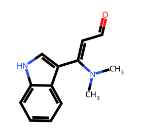 CN(C)C(=CC=O)c1c[nH]c2ccccc12